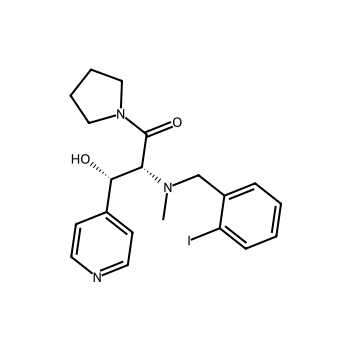 CN(Cc1ccccc1I)[C@@H](C(=O)N1CCCC1)[C@@H](O)c1ccncc1